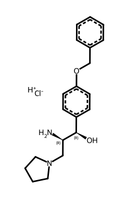 N[C@H](CN1CCCC1)[C@H](O)c1ccc(OCc2ccccc2)cc1.[Cl-].[H+]